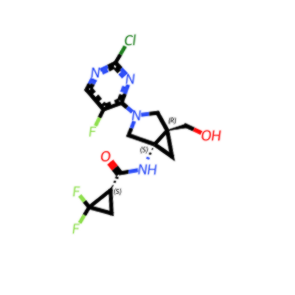 O=C(N[C@]12CN(c3nc(Cl)ncc3F)C[C@]1(CO)C2)[C@@H]1CC1(F)F